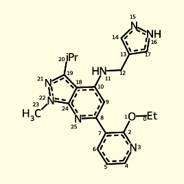 CCOc1ncccc1-c1cc(NCc2cn[nH]c2)c2c(C(C)C)nn(C)c2n1